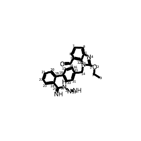 CCOc1nc2cccc(C=O)c2n1Cc1ccc(-c2ccccc2C(=N)NN=N)cc1